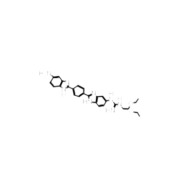 CCOC(CNC(=N)Nc1ccc2[nH]c(-c3ccc(-c4nc5cc(N)ccc5[nH]4)cc3)nc2c1)OCC